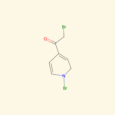 O=C(CBr)C1=CCN(Br)C=C1